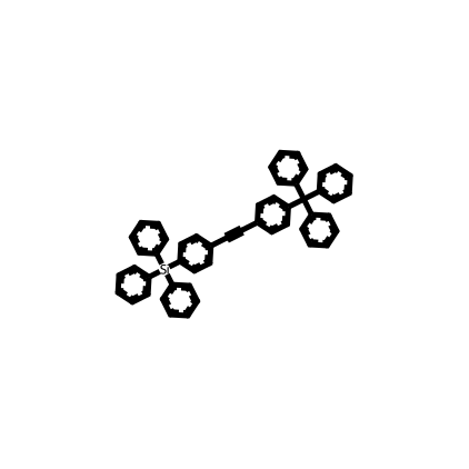 C(#Cc1ccc([Si](c2ccccc2)(c2ccccc2)c2ccccc2)cc1)c1ccc(C(c2ccccc2)(c2ccccc2)c2ccccc2)cc1